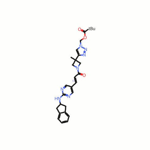 CC(C)(C)C(=O)OCn1cc(C2(C)CN(C(=O)/C=C/c3cnc(NC4Cc5ccccc5C4)nc3)C2)nn1